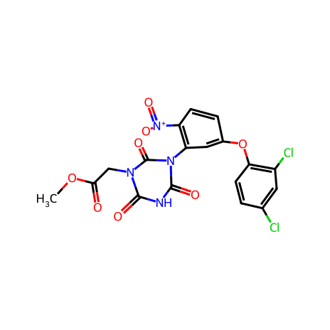 COC(=O)Cn1c(=O)[nH]c(=O)n(-c2cc(Oc3ccc(Cl)cc3Cl)ccc2[N+](=O)[O-])c1=O